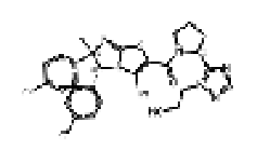 CC(C)C1=C(C(=O)N2CCC[C@H]2c2nnnn2CCC#N)SC2=N[C@@](C)(c3ccc(Cl)cc3)[C@@H](c3ccc(Cl)cc3)N21